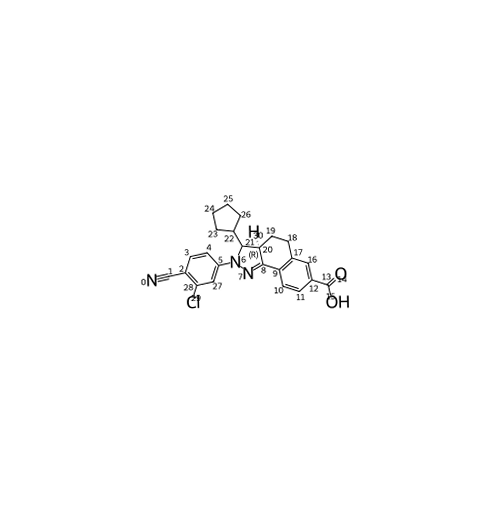 N#Cc1ccc(N2N=C3c4ccc(C(=O)O)cc4CC[C@@H]3C2C2CCCC2)cc1Cl